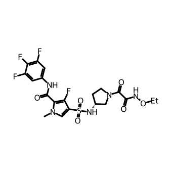 CCONC(=O)C(=O)N1CC[C@@H](NS(=O)(=O)c2cn(C)c(C(=O)Nc3cc(F)c(F)c(F)c3)c2F)C1